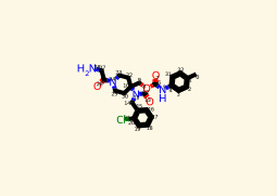 Cc1ccc(NC(=O)OCC2(N(C=O)Cc3ccccc3Cl)CCN(C(=O)CN)CC2)cc1